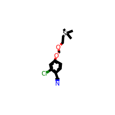 C[Si](C)(C)CCOCOc1ccc(C#N)c(Cl)c1